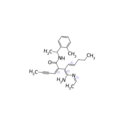 CC#C/C=C(C(=O)NC(C)c1ccccc1C)/C(/C=C/CCC)=C(N)/N=C\C